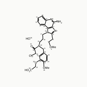 COCCc1nc2c(N)nc3ccccc3c2n1CCCN(Cc1ccc(OC)c(OCC(=O)O)c1)C(=O)CCl.Cl